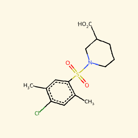 Cc1cc(S(=O)(=O)N2CCCC(C(=O)O)C2)c(C)cc1Cl